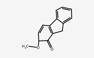 COC1C=CC2=C(Cc3ccccc32)C1=O